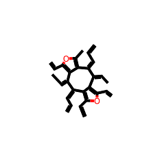 C=C/C=C1/C(=C/C)c2c(C=C)oc(C=C)c2C(=C\C=C)/C(=C/C)c2c(C=C)oc(C)c21